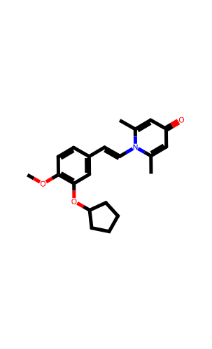 COc1ccc(/C=C/n2c(C)cc(=O)cc2C)cc1OC1CCCC1